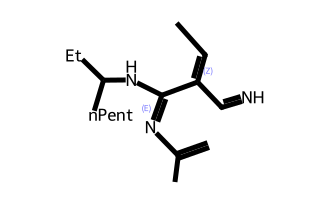 C=C(C)/N=C(NC(CC)CCCCC)\C(C=N)=C/C